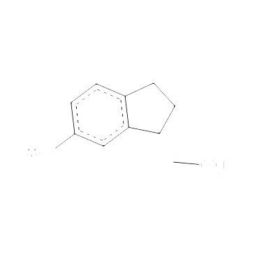 COc1ccc2c(c1)[C@@H](CC(=O)O)CC2